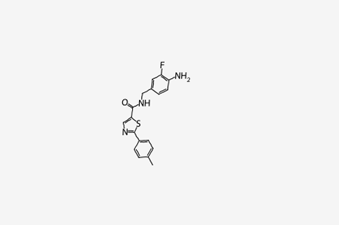 Cc1ccc(-c2ncc(C(=O)NCc3ccc(N)c(F)c3)s2)cc1